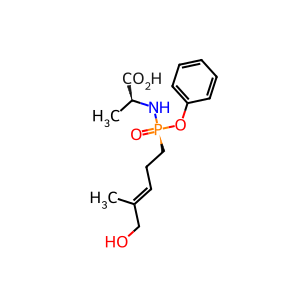 C/C(=C\CC[P@@](=O)(N[C@@H](C)C(=O)O)Oc1ccccc1)CO